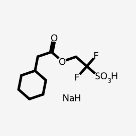 O=C(CC1CCCCC1)OCC(F)(F)S(=O)(=O)O.[NaH]